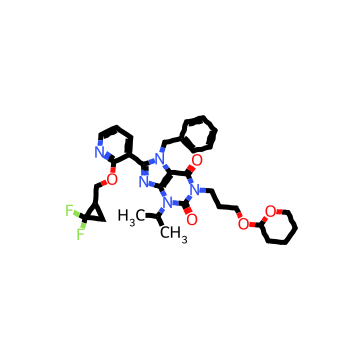 CC(C)n1c(=O)n(CCCOC2CCCCO2)c(=O)c2c1nc(-c1cccnc1OCC1CC1(F)F)n2Cc1ccccc1